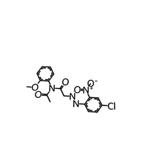 COc1ccccc1N(C(C)=O)C(=O)CN=Nc1ccc(Cl)cc1[N+](=O)[O-]